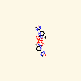 O=C1N2C[C@@H](CC[C@H]2c2ncon2)N1OS(=O)(=O)ON1C(=O)N2C[C@H]1CC[C@H]2c1ncon1